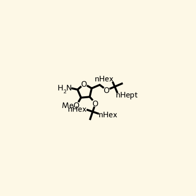 CCCCCCCC(C)(CCCCCC)OCC1OC(N)C(OC)C1OC(C)(CCCCCC)CCCCCC